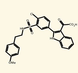 COc1ccc(CCNS(=O)(=O)c2cc(-c3[nH]c4ccccc4c3C(=O)C(=O)O)ccc2Cl)cc1